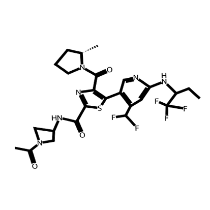 CCC(Nc1cc(C(F)F)c(-c2sc(C(=O)NC3CN(C(C)=O)C3)nc2C(=O)N2CCC[C@@H]2C)cn1)C(F)(F)F